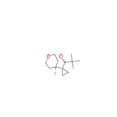 CC(C)(C)C(=O)C1(C2(F)CCOCC2)CC1